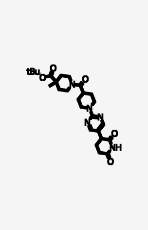 CC(C)(C)OC(=O)C1(C)CCN(C(=O)C2CCN(c3ncc(C4CCC(=O)NC4=O)cn3)CC2)CC1